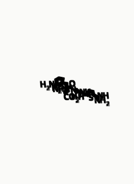 N=C(N)c1cccc(C[C@@](N)(C=CC(=O)O)C(=O)NCC(=O)NCc2ccc(C(=N)N)s2)c1